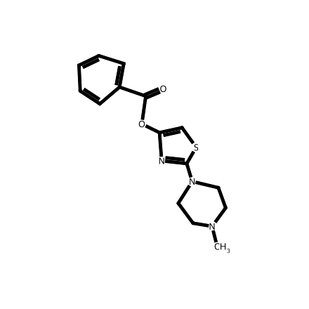 CN1CCN(c2nc(OC(=O)c3ccccc3)cs2)CC1